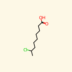 CC(Cl)CCCCCCC(=O)O